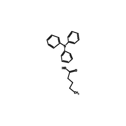 CCCCC(=O)O.c1ccc(N(c2ccccc2)c2ccccc2)cc1